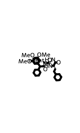 CCCCCN(C(=O)N[C@@H](CCC1CCCCC1)C(N)=O)C(=O)C(c1cc(OC)c(OC)c(OC)c1)C1CCCCC1